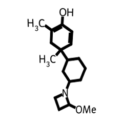 COC1CCN1C1CCCC(C2(C)C=CC(O)=C(C)C2)C1